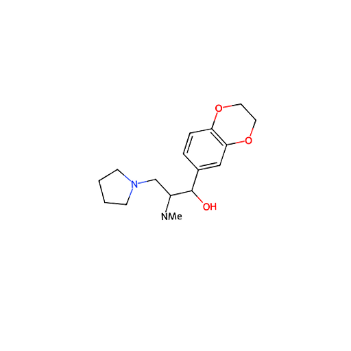 CNC(CN1CCCC1)C(O)c1ccc2c(c1)OCCO2